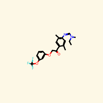 CCN(C)/C=N\c1cc(C)c(C(=O)COc2cccc(OC(F)(F)F)c2)cc1C